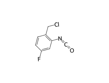 O=C=Nc1cc(F)ccc1CCl